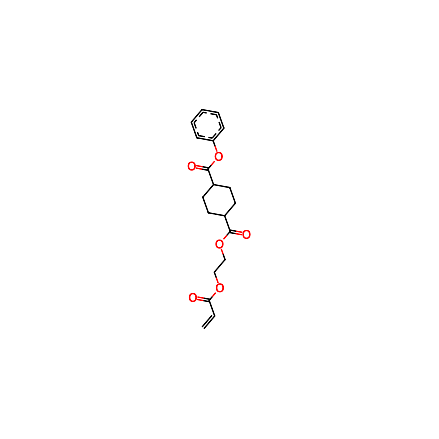 C=CC(=O)OCCOC(=O)C1CCC(C(=O)Oc2ccccc2)CC1